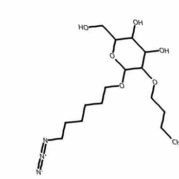 CCCCOC1C(OCCCCCCN=[N+]=[N-])OC(CO)C(O)C1O